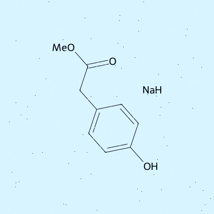 COC(=O)Cc1ccc(O)cc1.[NaH]